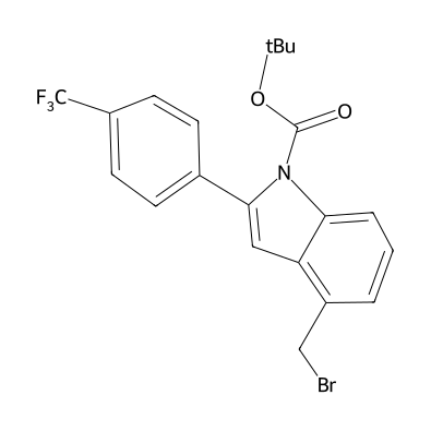 CC(C)(C)OC(=O)n1c(-c2ccc(C(F)(F)F)cc2)cc2c(CBr)cccc21